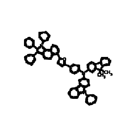 CC1(C)c2ccccc2-c2ccc(N(c3ccc(-c4ccc(-c5cccc6c5ccc5c(-c7ccccc7)c(-c7ccccc7)n(-c7ccccc7)c56)o4)cc3)c3ccc4c(c3)c3ccccc3n4-c3ccccc3)cc21